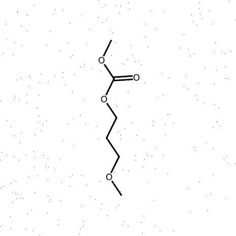 COCCCOC(=O)OC